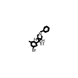 CC[C@]1(c2cc(C)cc(Br)c2)[C@@H]2CN(Cc3ccccc3)C[C@@H]21